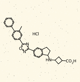 Cc1cc(-c2nc(-c3ccc4c(c3)CCC4NC3CC(C(=O)O)C3)no2)ccc1-c1ccccc1.Cl